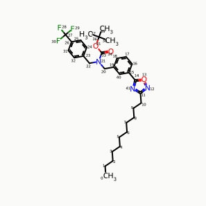 CCCCCCCCCCCc1noc(-c2cccc(CN(Cc3ccc(C(F)(F)F)cc3)C(=O)OC(C)(C)C)c2)n1